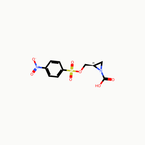 O=C(O)N1C[C@@H]1COS(=O)(=O)c1ccc([N+](=O)[O-])cc1